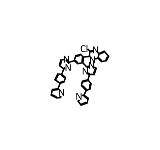 Clc1nc2ccccc2nc1-c1ccc(-c2nccc(-c3ccc(-c4ccccn4)cc3)n2)cc1-c1nccc(-c2ccc(-c3ccccn3)cc2)n1